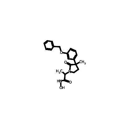 CC(C(=O)NO)N1CCC(C)(c2cccc(OCc3ccccc3)c2)C1=O